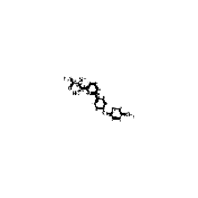 Cc1ccc(Oc2ccc(-c3cccc([C@H](O)[C@@H](O)C(N)=O)n3)cc2)nc1